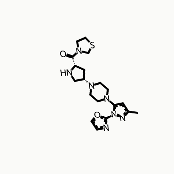 Cc1cc(N2CCN([C@@H]3CN[C@H](C(=O)N4CCSC4)C3)CC2)n(-c2ncco2)n1